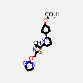 Cc1nc(COc2ncccn2)sc1-c1cccc(-c2ccc(OCC(=O)O)cc2)n1